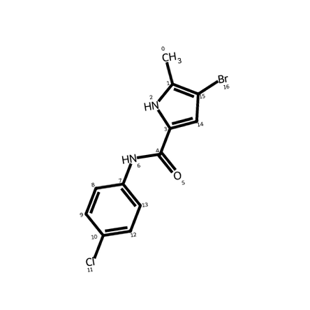 Cc1[nH]c(C(=O)Nc2ccc(Cl)cc2)cc1Br